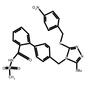 CCCCc1nnc(SCc2ccc([N+](=O)[O-])cc2)n1Cc1ccc(-c2ccccc2C(=O)NS(C)(=O)=O)cc1